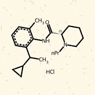 CCCN1CCCC[C@H]1C(=O)Nc1c(C)cccc1C(C)C1CC1.Cl